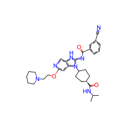 CC(C)NC(=O)[C@H]1CC[C@@H](n2/c(=N/C(=O)c3cccc(C#N)c3)[nH]c3cnc(OCCN4CCCCC4)cc32)CC1